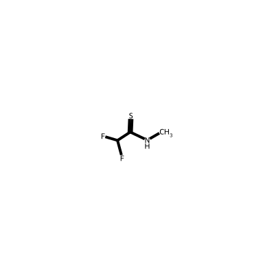 CNC(=S)C(F)F